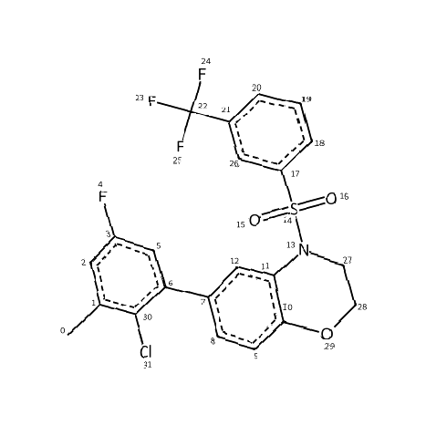 Cc1cc(F)cc(-c2ccc3c(c2)N(S(=O)(=O)c2cccc(C(F)(F)F)c2)CCO3)c1Cl